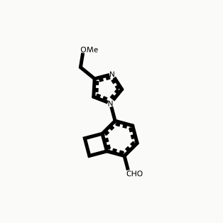 COCc1cn(-c2ccc(C=O)c3c2CC3)cn1